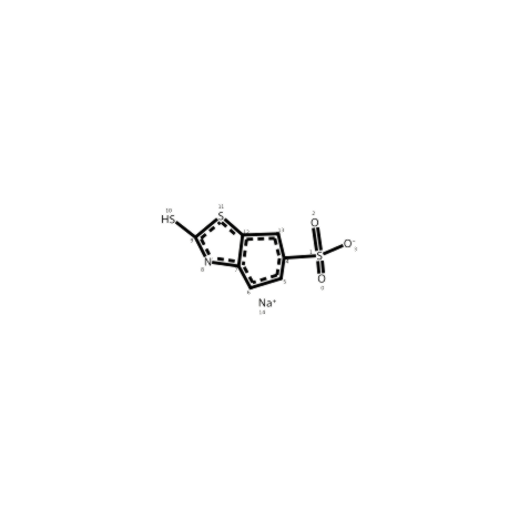 O=S(=O)([O-])c1ccc2nc(S)sc2c1.[Na+]